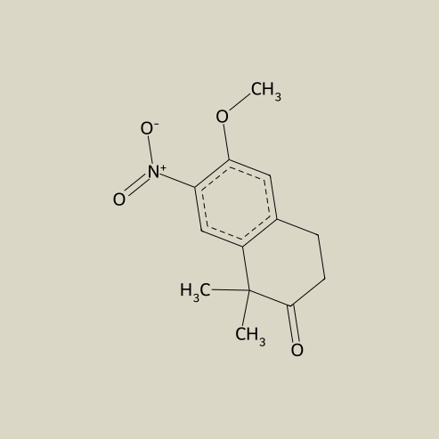 COc1cc2c(cc1[N+](=O)[O-])C(C)(C)C(=O)CC2